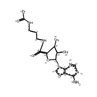 CCC(=O)NCCCNC(=O)C1OC(n2cnc3c(N)ncnc32)C(O)C1O